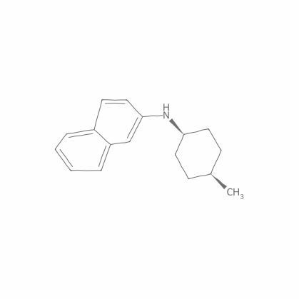 C[C@H]1CC[C@@H](Nc2ccc3ccccc3c2)CC1